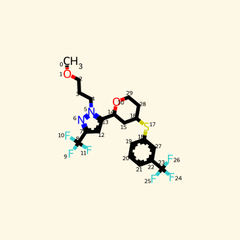 COCCCn1nc(C(F)(F)F)cc1C1CC(Sc2cccc(C(F)(F)F)c2)CCO1